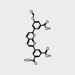 O=COc1cc(C(=O)O)cc(-c2ccc3ccc(-c4cc(C(=O)O)cc(C(=O)O)c4)nc3n2)c1